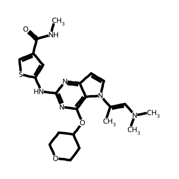 CNC(=O)c1csc(Nc2nc(OC3CCOCC3)c3c(ccn3/C(C)=C/N(C)C)n2)c1